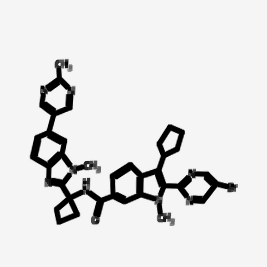 Cc1ncc(-c2ccc3nc(C4(NC(=O)c5ccc6c(C7CCCC7)c(-c7ncc(Br)cn7)n(C)c6c5)CCC4)n(C)c3c2)cn1